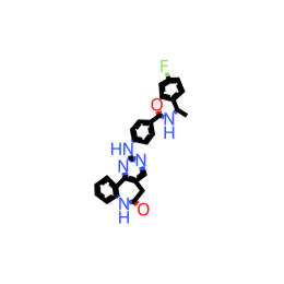 CC(NC(=O)c1ccc(Nc2ncc3c(n2)-c2ccccc2NC(=O)C3)cc1)c1ccc(F)cc1